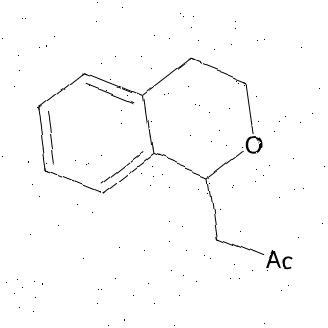 CC(=O)CC1OCCc2ccccc21